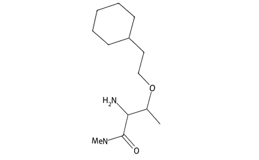 CNC(=O)C(N)C(C)OCCC1CCCCC1